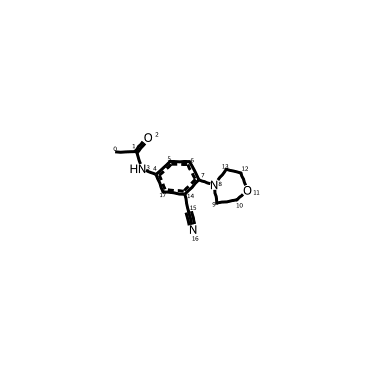 CC(=O)Nc1ccc(N2CCOCC2)c(C#N)c1